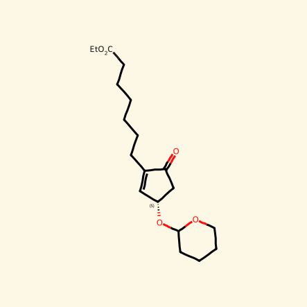 CCOC(=O)CCCCCCC1=C[C@@H](OC2CCCCO2)CC1=O